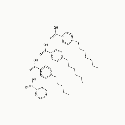 CCCCCCCc1ccc(C(=O)O)cc1.CCCCCCc1ccc(C(=O)O)cc1.CCCCCc1ccc(C(=O)O)cc1.O=C(O)c1ccccc1